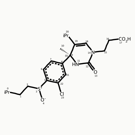 CC(C)CC[S+]([O-])c1ccc([C@]2(C)NC(=O)N(CCC(=O)O)C=C2C(C)C)cc1Cl